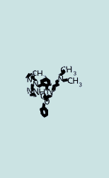 CCCN(CCC)CCCCN(CC(=O)OCc1ccccc1)Cc1ccccc1CN(Cc1ncc[nH]1)Cc1nccn1C